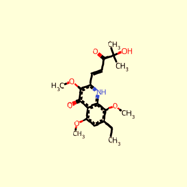 CCc1cc(OC)c2c(=O)c(OC)c(C=CC(=O)C(C)(C)O)[nH]c2c1OC